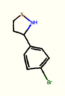 Brc1ccc(C2CCSN2)cc1